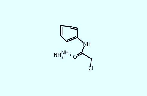 N.N.O=C(CCl)Nc1ccccc1